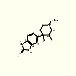 CCCCCCN1CCC(C)(c2ccc3[nH]c(=O)oc3c2)C(C)C1